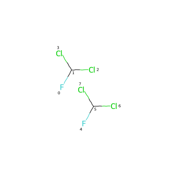 FC(Cl)Cl.FC(Cl)Cl